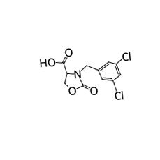 O=C(O)C1COC(=O)N1Cc1cc(Cl)cc(Cl)c1